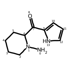 NN1CCCCC1C(=O)c1ccc[nH]1